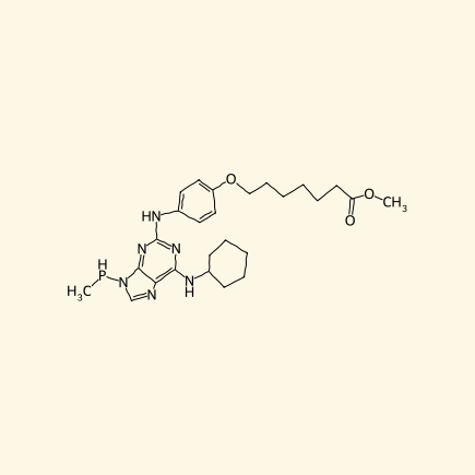 COC(=O)CCCCCCOc1ccc(Nc2nc(NC3CCCCC3)c3ncn(PC)c3n2)cc1